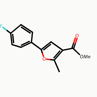 COC(=O)c1cc(-c2ccc(F)cc2)oc1C